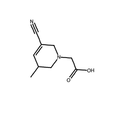 CC1C=C(C#N)CN(CC(=O)O)C1